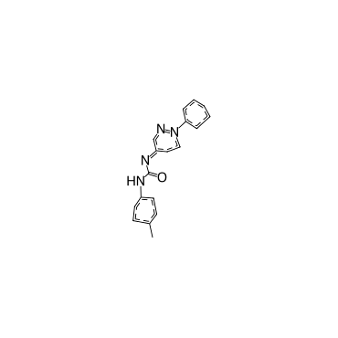 Cc1ccc(NC(=O)N=c2ccn(-c3ccccc3)nc2)cc1